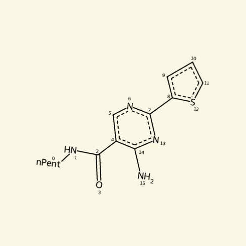 CCCCCNC(=O)c1cnc(-c2cccs2)nc1N